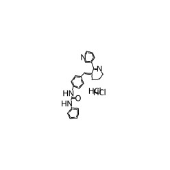 Cl.Cl.O=C(Nc1ccccc1)Nc1ccc(C=C2CCCN=C2c2cccnc2)cc1